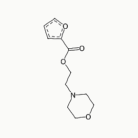 O=C(OCCN1CCOCC1)c1ccco1